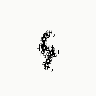 CC(=O)Oc1ccc(N=NC2C(=O)NC(=O)C(CCC3=C(C)C(N=Nc4ccc(OC(C)=O)cc4)C(=O)NC3=O)=C2C)cc1